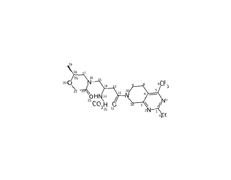 CCc1nc2c(c(C(F)(F)F)n1)CCN(C(=O)CC(CN1C[C@H](C)OCC1=O)NC(=O)O)C2